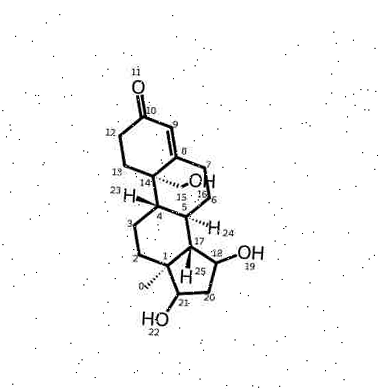 C[C@]12CC[C@H]3[C@@H](CCC4=CC(=O)CC[C@@]43CO)[C@@H]1C(O)CC2O